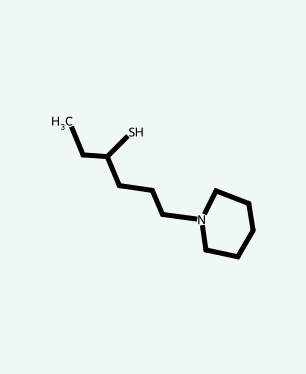 CCC(S)CCCN1CCCCC1